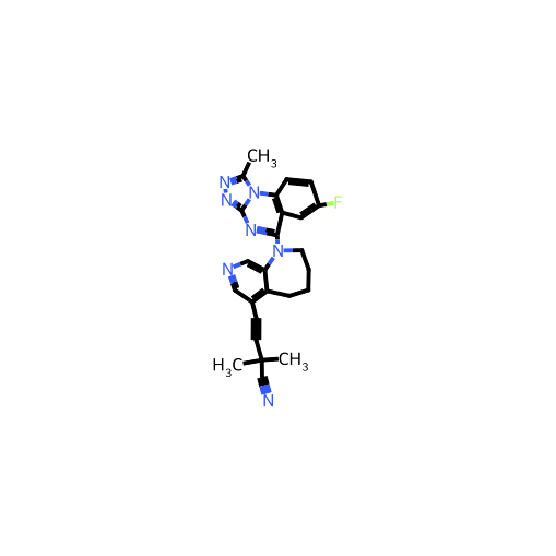 Cc1nnc2nc(N3CCCCc4c(C#CC(C)(C)C#N)cncc43)c3cc(F)ccc3n12